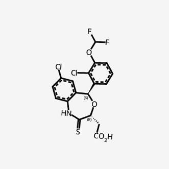 O=C(O)C[C@H]1O[C@H](c2cccc(OC(F)F)c2Cl)c2cc(Cl)ccc2NC1=S